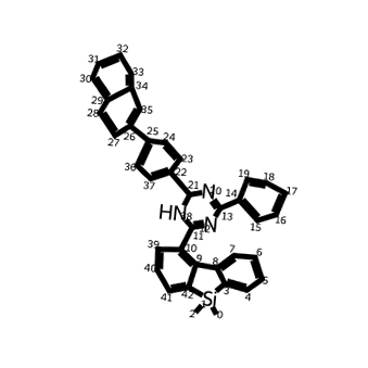 C[Si]1(C)c2ccccc2-c2c(C3=NC(c4ccccc4)=NC(c4ccc(-c5ccc6ccccc6c5)cc4)N3)cccc21